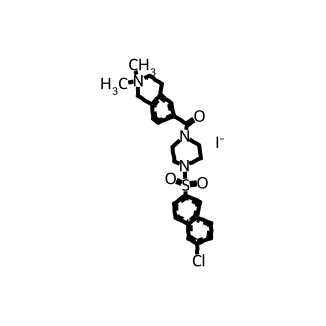 C[N+]1(C)CCc2cc(C(=O)N3CCN(S(=O)(=O)c4ccc5cc(Cl)ccc5c4)CC3)ccc2C1.[I-]